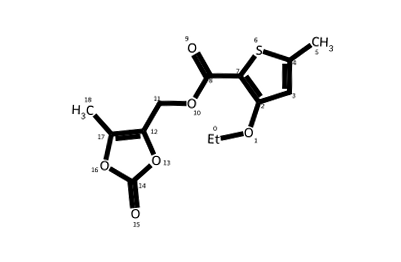 CCOc1cc(C)sc1C(=O)OCc1oc(=O)oc1C